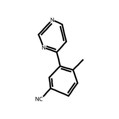 Cc1ccc(C#N)cc1-c1ccncn1